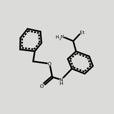 CCC(N)c1cccc(NC(=O)OCc2ccccc2)c1